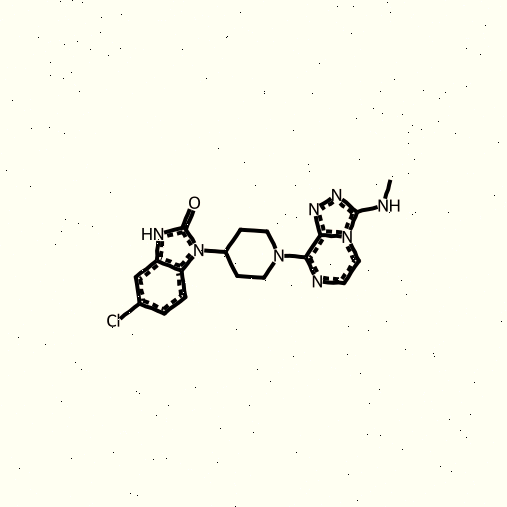 CNc1nnc2c(N3CCC(n4c(=O)[nH]c5cc(Cl)ccc54)CC3)nccn12